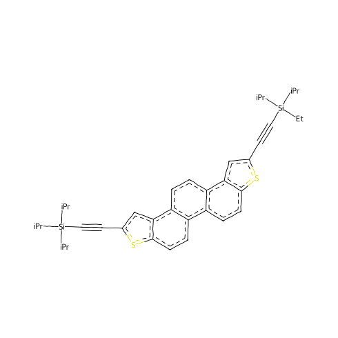 CC[Si](C#Cc1cc2c(ccc3c2ccc2c4cc(C#C[Si](C(C)C)(C(C)C)C(C)C)sc4ccc23)s1)(C(C)C)C(C)C